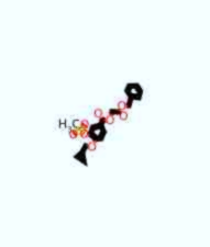 CS(=O)(=O)Oc1cc(C(=O)OCC(=O)OCc2ccccc2)ccc1OCC1CC1